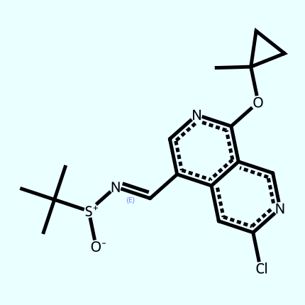 CC1(Oc2ncc(/C=N/[S+]([O-])C(C)(C)C)c3cc(Cl)ncc23)CC1